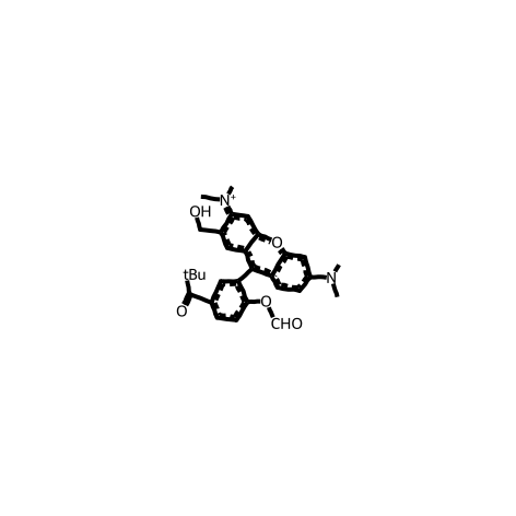 CN(C)c1ccc2c(-c3cc(C(=O)C(C)(C)C)ccc3OC=O)c3cc(CO)c(=[N+](C)C)cc-3oc2c1